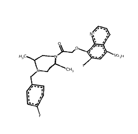 CC1CN(C(=O)COc2c(I)cc(S(=O)(=O)O)c3cccnc23)C(C)CN1Cc1ccc(F)cc1